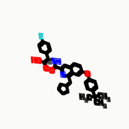 CC(C)(C)c1ccc(Oc2ccc3cc(C(=O)N[C@H](C(=O)O)C4C=CC(F)=CC4)nc(CC4CCCC4)c3c2)cc1